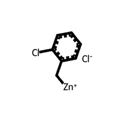 Clc1ccccc1[CH2][Zn+].[Cl-]